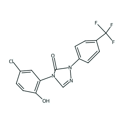 O=c1n(-c2cc(Cl)ccc2O)cnn1-c1ccc(C(F)(F)F)cc1